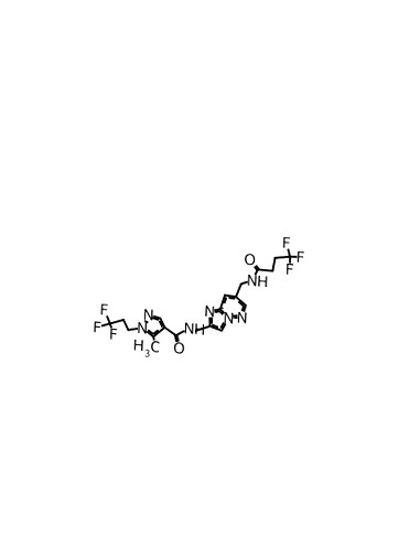 Cc1c(C(=O)NCc2cn3ncc(CNC(=O)CCC(F)(F)F)cc3n2)cnn1CCC(F)(F)F